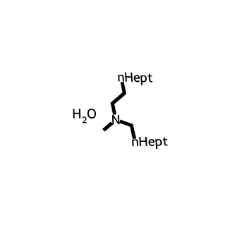 CCCCCCCCCN(C)CCCCCCCC.O